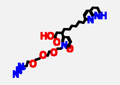 [N-]=[N+]=NCCOCCOCCOCCn1cc(C(CCCCCCc2ccc3c(n2)NCCC3)CC(=O)O)ccc1=O